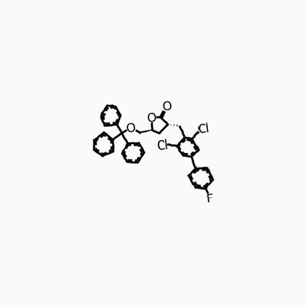 O=C1O[C@H](COC(c2ccccc2)(c2ccccc2)c2ccccc2)C[C@H]1Cc1c(Cl)cc(-c2ccc(F)cc2)cc1Cl